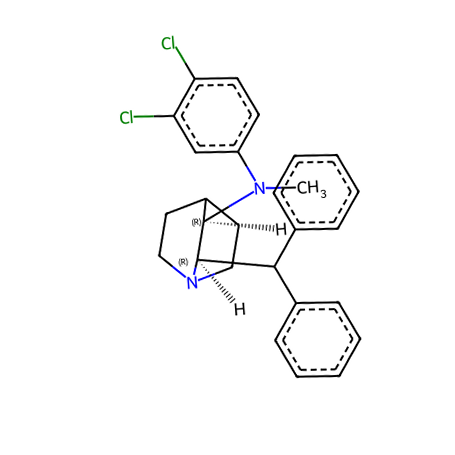 CN(c1ccc(Cl)c(Cl)c1)[C@@H]1C2CCN(CC2)[C@@H]1C(c1ccccc1)c1ccccc1